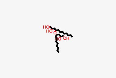 CCCCCCCCC(CC(O)CO)OC(CCCCCCCC)CC(O)CO